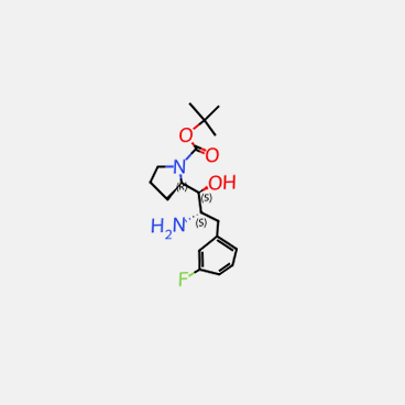 CC(C)(C)OC(=O)N1CCC[C@@H]1[C@@H](O)[C@@H](N)Cc1cccc(F)c1